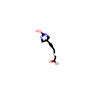 CCC(=O)CCCC#Cc1cnc(O)nc1